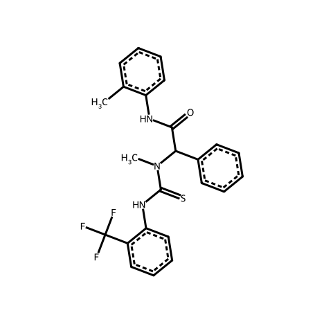 Cc1ccccc1NC(=O)C(c1ccccc1)N(C)C(=S)Nc1ccccc1C(F)(F)F